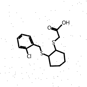 O=C(O)CSC1CCCCC1SCc1ccccc1Cl